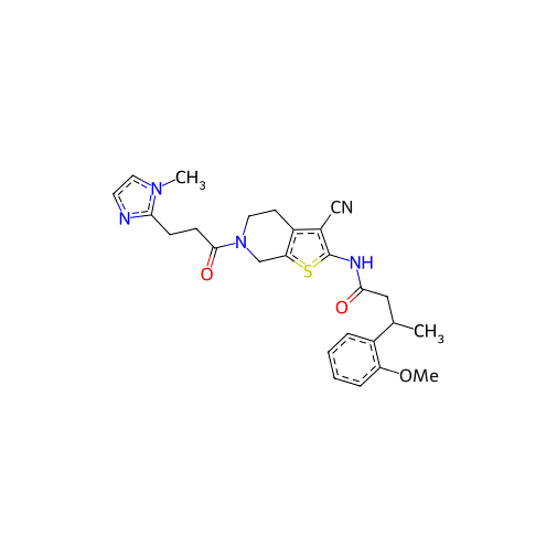 COc1ccccc1C(C)CC(=O)Nc1sc2c(c1C#N)CCN(C(=O)CCc1nccn1C)C2